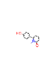 Cn1c(-c2ccc(O)cc2)cccc1=O